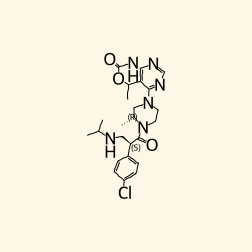 CC(C)NC[C@@H](C(=O)N1CCN(c2ncnc3c2C(C)OC(=O)N3)C[C@H]1C)c1ccc(Cl)cc1